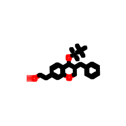 CC(C)(C)[Si](C)(C)OC1c2ccc(CCO)cc2OCC1Cc1ccccc1